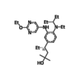 CCOc1ncc(Nc2cc([C@@H](CC)CC(C)(C)O)ccc2N(CC)C(CC)CC)cn1